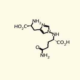 NC(=O)CC[C@H](Nn1cnc(C[C@H](N)C(=O)O)c1)C(=O)O